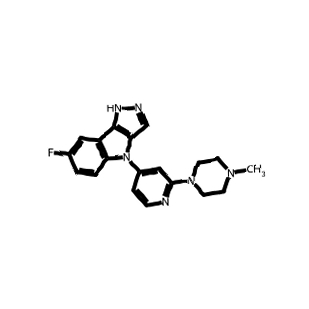 CN1CCN(c2cc(-n3c4ccc(F)cc4c4[nH]ncc43)ccn2)CC1